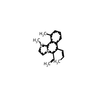 C=Cc1c(/C=C\C)c2cccc(C)c2c2n1cc[n+]2C